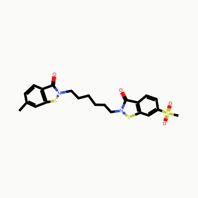 Cc1ccc2c(=O)n(CCCCCCn3sc4cc(S(C)(=O)=O)ccc4c3=O)sc2c1